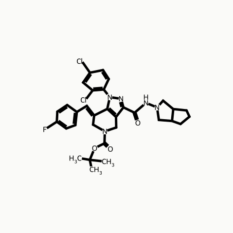 CC(C)(C)OC(=O)N1CC(=Cc2ccc(F)cc2)c2c(c(C(=O)NN3CC4CCCC4C3)nn2-c2ccc(Cl)cc2Cl)C1